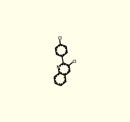 Clc1ccc(-c2nc3ccccc3cc2Cl)cc1